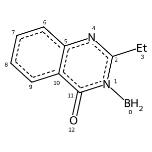 Bn1c(CC)nc2ccccc2c1=O